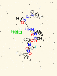 Cc1nc(NCCCCCC(=O)N(C)CCN2CCC(N(C(=O)O)c3ccccc3-c3ccccc3)CC2)sc1C(=O)N(C)CCN(C)C(=O)CO[C@H]1Cc2ccccc2C12CCN(CC[C@@]1(c3ccc(F)cc3)CN(C(=O)c3cc(C(F)(F)F)cc(C(F)(F)F)c3)CO1)CC2.Cl.Cl.Cl